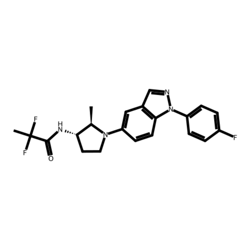 C[C@@H]1[C@@H](NC(=O)C(C)(F)F)CCN1c1ccc2c(cnn2-c2ccc(F)cc2)c1